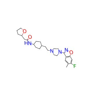 Cc1cc2c(N3CCN(CCC4CCC(NC(=O)CC5CCCO5)CC4)CC3)noc2cc1F